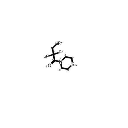 CC(C)CC(F)(F)C(=O)N1CCSCC1